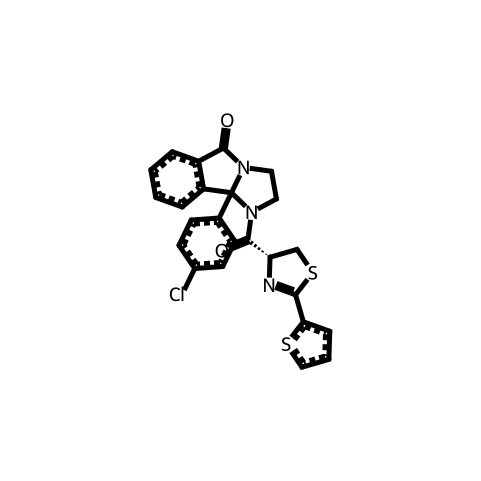 O=C1c2ccccc2C2(c3ccc(Cl)cc3)N1CCN2C(=O)[C@@H]1CSC(c2cccs2)=N1